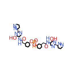 O=C(Cc1cccc(O[PH](=O)Oc2cccc(CC(=O)Nc3cnc(-c4cccnn4)nc3O)c2)c1)Nc1cnc(-c2cccnn2)nc1O